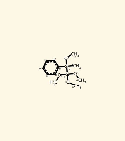 CO[Si](OC)(OC)[Si](C)(OC)c1ccccc1